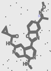 CNc1ncc(-c2nc3cc(/C(C)=N/OC)ccc3o2)c2cc(NC(=O)C3CC3)ncc12